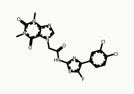 Cn1c(=O)c2c(ncn2CC(=O)Nc2nc(-c3ccc(Cl)c(Cl)c3)c(F)s2)n(C)c1=O